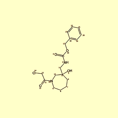 O=C(NCC1(O)CCCCN(C(=O)CCl)C1)OCc1ccccc1